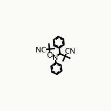 CC(C)(C#N)ON(c1ccccc1)C(c1ccccc1)C(C)(C)C#N